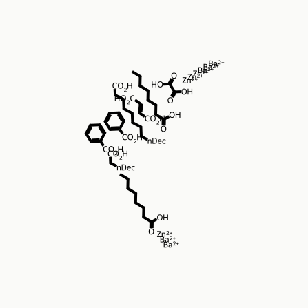 CCCCCCCC(=O)O.CCCCCCCC(=O)O.CCCCCCCCCCCC(=O)O.CCCCCCCCCCCCCCCCCC(=O)O.O=C(O)C(=O)O.O=C(O)C=CC(=O)O.O=C(O)c1ccccc1.O=C(O)c1ccccc1.[Ba+2].[Ba+2].[Ba+2].[Ba+2].[Ba+2].[Zn+2].[Zn+2].[Zn+2].[Zn+2]